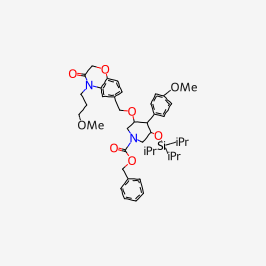 COCCCN1C(=O)COc2ccc(COC3CN(C(=O)OCc4ccccc4)CC(O[Si](C(C)C)(C(C)C)C(C)C)C3c3ccc(OC)cc3)cc21